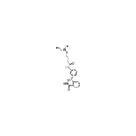 CC(C)CN(C)CCCCC(=O)Nc1cccc(-c2n[nH]c(=O)c3ccccc23)c1